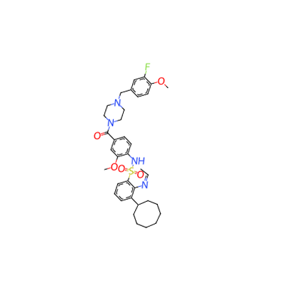 C/C=N\c1c(C2CCCCCCC2)cccc1S(=O)(=O)Nc1ccc(C(=O)N2CCN(Cc3ccc(OC)c(F)c3)CC2)cc1OC